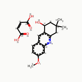 COc1ccc2cc3c(nc2c1)CC(C)(C)CC3O.O=C(O)/C=C\C(=O)O